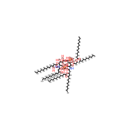 CCCCCCCCCCCCCC(=O)O[C@H](CCCCCCCCCCC)CC(=O)O[C@@H]1[C@@H](NC(=O)C[C@@H](CCCCCCCCCCC)OC(=O)CCCCCCCCCCC)[C@H](OP(=O)(O)O[C@H]2O[C@H](CO)[C@@H](O)[C@H](OC(=O)C[C@H](O)CCCCCCCCCCC)[C@H]2NC(=O)C[C@H](O)CCCCCCCCCCC)O[C@H](CO)[C@H]1OP(=O)(O)O